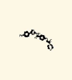 CC(C)c1ccc(-c2csc(NC(=O)c3ccc(OCC(=O)N4CCOCC4)cc3)n2)cc1